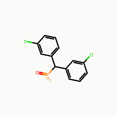 O=[PH2]C(c1cccc(Cl)c1)c1cccc(Cl)c1